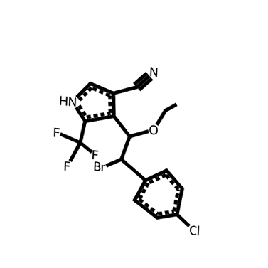 CCOC(c1c(C#N)c[nH]c1C(F)(F)F)C(Br)c1ccc(Cl)cc1